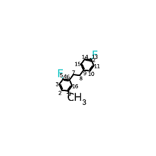 Cc1ccc(F)c(CCc2ccc(F)cc2)c1